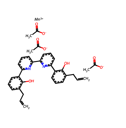 C=CCc1cccc(-c2cccc(-c3cccc(-c4cccc(CC=C)c4O)n3)n2)c1O.CC(=O)[O-].CC(=O)[O-].CC(=O)[O-].[Mn+3]